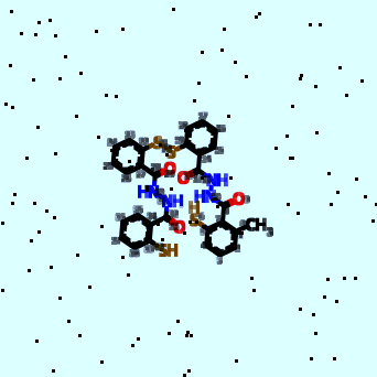 Cc1cccc(S)c1C(=O)NNC(=O)c1ccccc1SSc1ccccc1C(=O)NNC(=O)c1ccccc1S